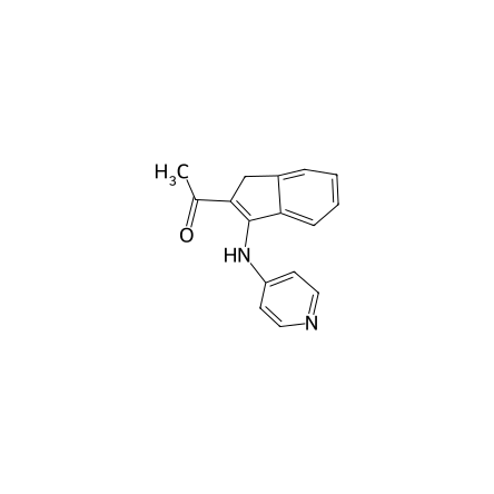 CC(=O)C1=C(Nc2ccncc2)c2ccccc2C1